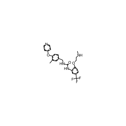 CNCCOc1ccc(C(F)(F)F)cc1NC(=O)NCc1ccc(Oc2ccncc2)c(C)c1